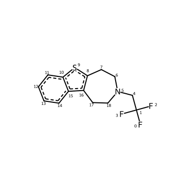 FC(F)(F)CN1CCc2sc3ccccc3c2CC1